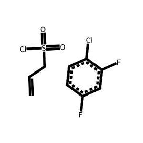 C=CCS(=O)(=O)Cl.Fc1ccc(Cl)c(F)c1